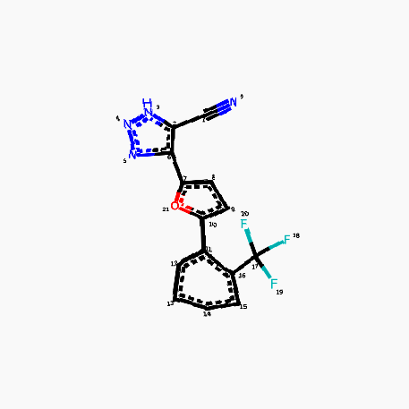 N#Cc1[nH]nnc1-c1ccc(-c2ccccc2C(F)(F)F)o1